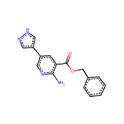 Nc1ncc(-c2cn[nH]c2)cc1C(=O)OCc1ccccc1